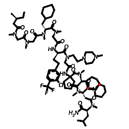 CC[C@H](C)CC(=O)N(C)CC(=O)N(C)CC(=O)N(C)[C@H](CC1CCCCC1)C(=O)N(C)CC(=O)N[C@H](CCc1ccc(C(F)(F)F)c(Cl)c1)C(=O)N(CCN1CCN(C)CC1)CC(=O)NC1(C(=O)N(C)[C@H](C(=O)N(C)[C@@H](CC(=O)N(C)[C@@H](CC(C)C)C(N)=O)C(=O)N2CCCCC2)C2CCCCC2)CCCC1